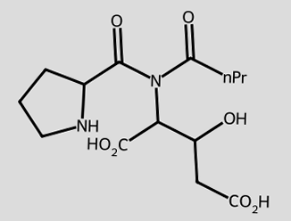 CCCC(=O)N(C(=O)C1CCCN1)C(C(=O)O)C(O)CC(=O)O